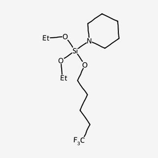 CCO[Si](OCC)(OCCCCC(F)(F)F)N1CCCCC1